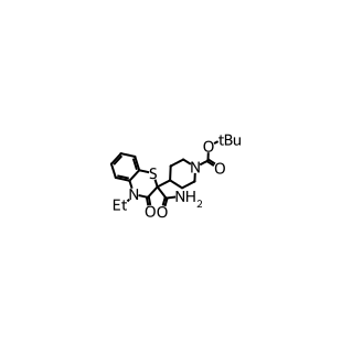 CCN1C(=O)C(C(N)=O)(C2CCN(C(=O)OC(C)(C)C)CC2)Sc2ccccc21